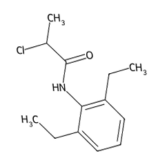 CCc1cccc(CC)c1NC(=O)C(C)Cl